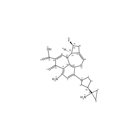 Nc1cc(N2CC[C@@H](C3(N)CC3)C2)c2c3c1c(=O)c(C(=O)O)cn3[C@@H]1C(=CO2)C[C@@H]1F